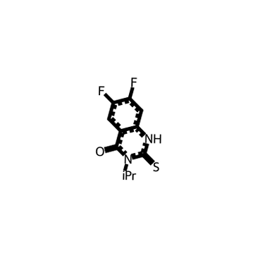 CC(C)n1c(=S)[nH]c2cc(F)c(F)cc2c1=O